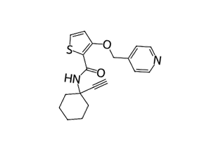 C#CC1(NC(=O)c2sccc2OCc2ccncc2)CCCCC1